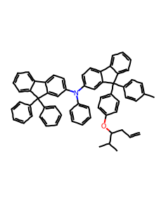 C=CCC(Oc1ccc(C2(c3ccc(C)cc3)c3ccccc3-c3ccc(N(c4ccccc4)c4ccc5c(c4)C(c4ccccc4)(c4ccccc4)c4ccccc4-5)cc32)cc1)C(C)C